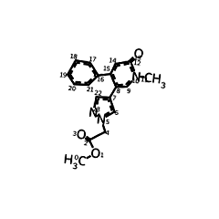 COC(=O)Cn1cc(-c2cn(C)c(=O)cc2-c2ccccc2)cn1